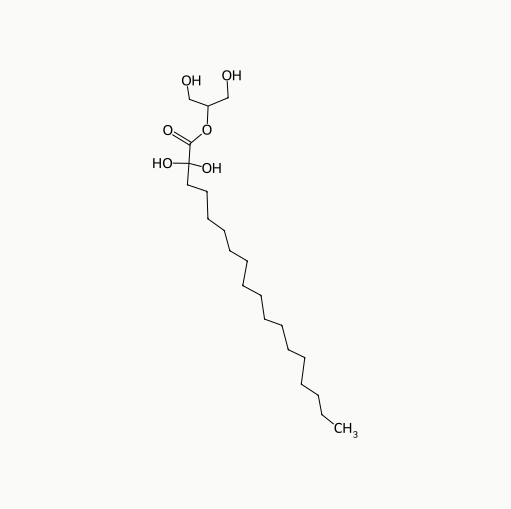 CCCCCCCCCCCCCCCCC(O)(O)C(=O)OC(CO)CO